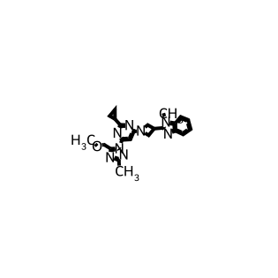 COCc1nc(C)nn1-c1cc(N2CC(c3nc4ccccc4n3C)C2)nc(C2CC2)n1